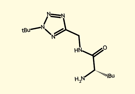 CCC(C)[C@H](N)C(=O)NCc1nnn(C(C)(C)C)n1